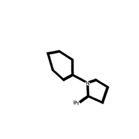 CC(C)C1CCCN1C1CCCCC1